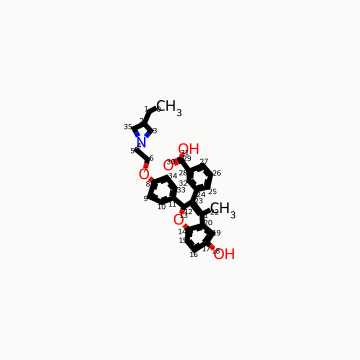 CCC1CN(CCOc2ccc(C3Oc4ccc(O)cc4C(C)=C3c3cccc(C(=O)O)c3)cc2)C1